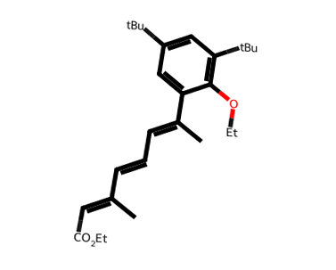 CCOC(=O)/C=C(C)/C=C/C=C(\C)c1cc(C(C)(C)C)cc(C(C)(C)C)c1OCC